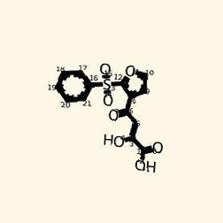 O=C(O)/C(O)=C/C(=O)c1ccoc1S(=O)(=O)c1ccccc1